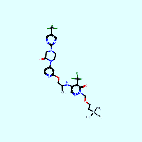 CC(COc1cc(N2CCN(c3ncc(C(F)(F)F)cn3)CC2=O)ccn1)Nc1cnn(COCC[Si](C)(C)C)c(=O)c1C(F)(F)F